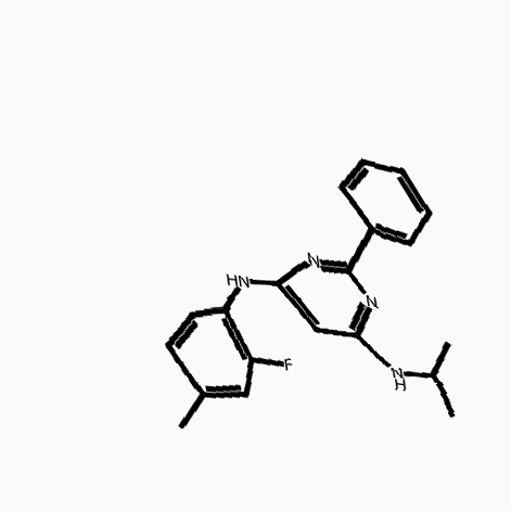 Cc1ccc(Nc2cc(NC(C)C)nc(-c3ccccc3)n2)c(F)c1